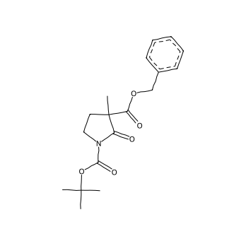 CC(C)(C)OC(=O)N1CCC(C)(C(=O)OCc2ccccc2)C1=O